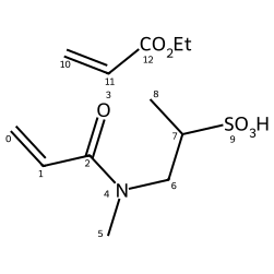 C=CC(=O)N(C)CC(C)S(=O)(=O)O.C=CC(=O)OCC